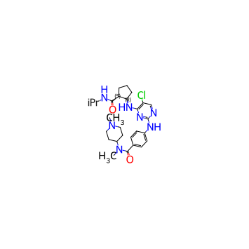 CC(C)NC(=O)[C@H]1CCC[C@H]1Nc1nc(Nc2ccc(C(=O)N(C)C3CCN(C)CC3)cc2)ncc1Cl